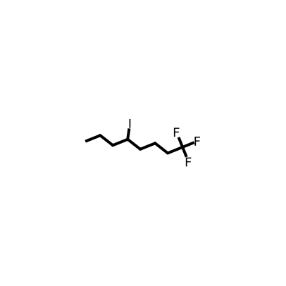 CCCC(I)CCCC(F)(F)F